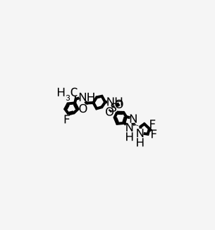 C[C@@H](NC(=O)C1CCC(NS(=O)(=O)c2ccc3[nH]c([C@@H]4CC(F)(F)CN4)nc3c2)CC1)c1ccc(F)cc1